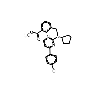 COC(=O)c1cccc(CN(c2nccc(-c3ccc(O)cc3)n2)C2CCCC2)c1